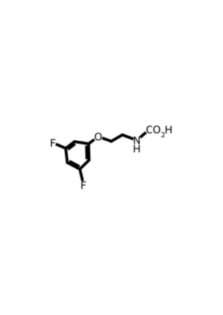 O=C(O)NCCOc1cc(F)cc(F)c1